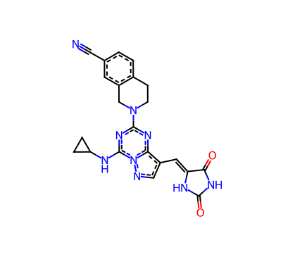 N#Cc1ccc2c(c1)CN(c1nc(NC3CC3)n3ncc(/C=C4\NC(=O)NC4=O)c3n1)CC2